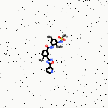 COc1c(NC(=O)c2ccc(C)c(-c3noc(-c4cccnc4)n3)c2)cc(C(C)(C)C)cc1NS(C)(=O)=O